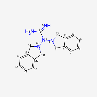 N=C(N)N(N1Cc2ccccc2C1)N1Cc2ccccc2C1